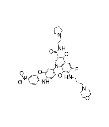 O=C(NCCN1CCCC1)c1cn2c3cc4oc5cc([N+](=O)[O-])ccc5[nH]c4cc3oc3c(NCCCN4CCOCC4)c(F)cc(c1=O)c32